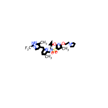 Cc1ccc(Cc2ccn3c(C(F)(F)F)nnc3c2C)nc1CN1CC2(CC2)Oc2nc(OCCN3CCCC3)c(C)cc2S1(=O)=O